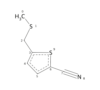 CSCc1ccc(C#N)s1